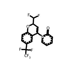 O=c1ccccn1C1=CC(C(F)F)Oc2ccc(C(F)(F)C(F)(F)F)cc21